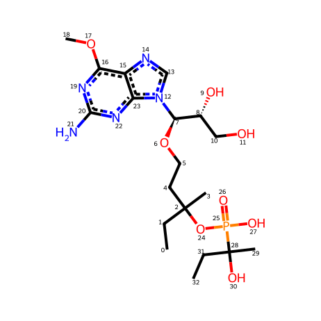 CCC(C)(CCO[C@H]([C@H](O)CO)n1cnc2c(OC)nc(N)nc21)OP(=O)(O)C(C)(O)CC